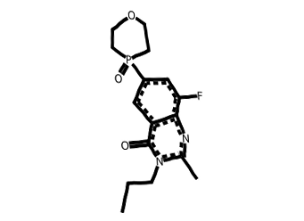 CCCn1c(C)nc2c(F)cc(P3(=O)CCOCC3)cc2c1=O